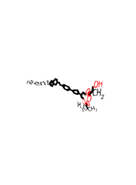 C=C(C)C(=O)OCCC(CCOC(=O)C(=C)CO)C1CCC(C2CCC(CCC3CCc4cc(CCCCC)ccc4C3)CC2)CC1